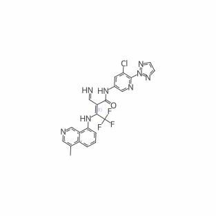 Cc1cncc2c(N/C(=C(\C=N)C(=O)Nc3cnc(-n4nccn4)c(Cl)c3)C(F)(F)F)cccc12